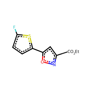 CCOC(=O)c1cc(-c2ccc(F)s2)on1